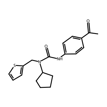 CC(=O)c1ccc(NC(=O)N(Cc2cccs2)C2CCCC2)cc1